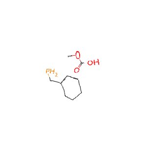 COC(=O)O.PCC1CCCCC1